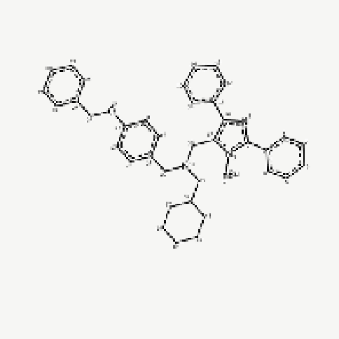 CCCCn1c(-c2ccccc2)nc(-c2ccccc2)c1CN(Cc1ccc(OCc2ccccc2)cc1)CC1CCCCC1